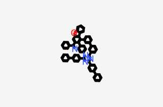 c1ccc(-c2ccc(-c3nc(-c4ccc(-c5ccccc5)cc4)nc(-c4cccc(-c5cccc(-c6c7c(cc8c(-c9ccccc9)nc9ccccc9c68)oc6ccccc67)c5)c4)n3)cc2)cc1